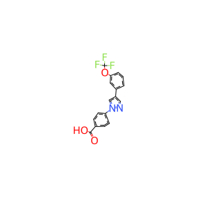 O=C(O)c1ccc(-n2cc(-c3cccc(OC(F)(F)F)c3)cn2)cc1